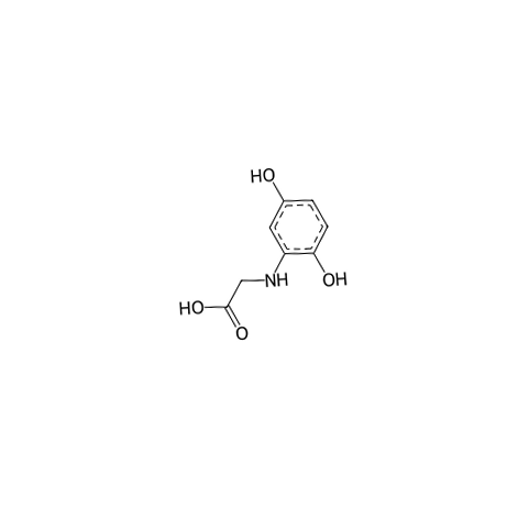 O=C(O)CNc1cc(O)ccc1O